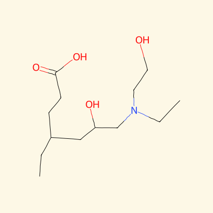 CCC(CCC(=O)O)CC(O)CN(CC)CCO